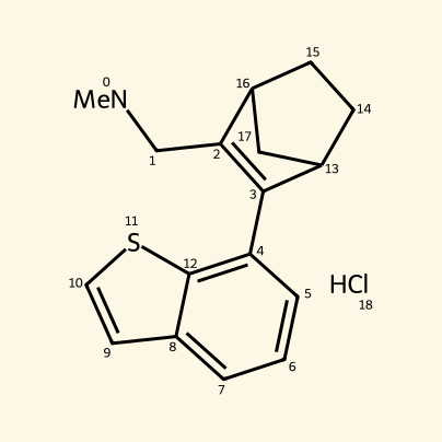 CNCC1=C(c2cccc3ccsc23)C2CCC1C2.Cl